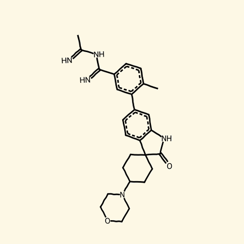 CC(=N)NC(=N)c1ccc(C)c(-c2ccc3c(c2)NC(=O)C32CCC(N3CCOCC3)CC2)c1